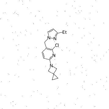 CCc1ccn(Cc2ccc(N3CC4(CC4)C3)nc2Cl)n1